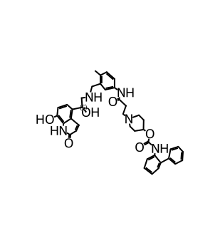 Cc1ccc(NC(=O)CCN2CCC(OC(=O)Nc3ccccc3-c3ccccc3)CC2)cc1CNC[C@@H](O)c1ccc(O)c2[nH]c(=O)ccc12